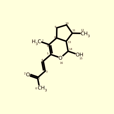 CC(=O)C=CC1=C(C)C2CCC(C)C2C(O)O1